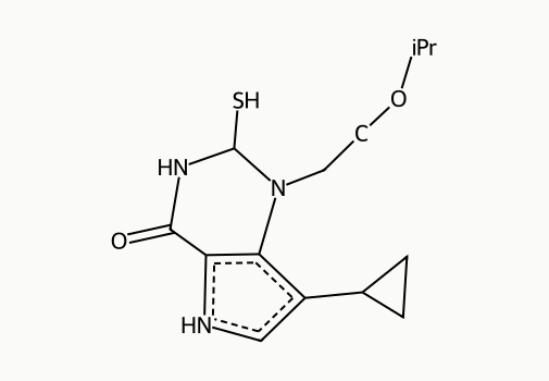 CC(C)OCCN1c2c(C3CC3)c[nH]c2C(=O)NC1S